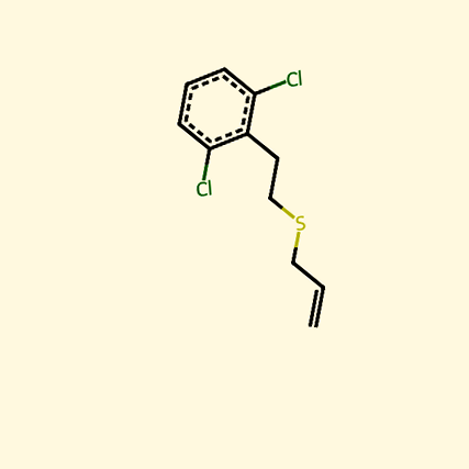 C=CCSCCc1c(Cl)cccc1Cl